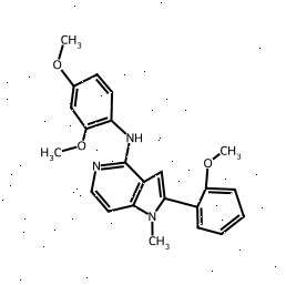 COc1ccc(Nc2nccc3c2cc(-c2ccccc2OC)n3C)c(OC)c1